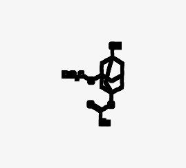 CCOC(=O)OC12CC3CC(O)(C1)CC(OC(=O)C(C)CC)(C3)C2